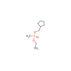 CCOP(C)(=O)OCC1CCCC1